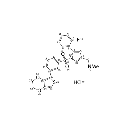 CNCc1cc(-c2ccccc2F)n(S(=O)(=O)c2cccc(-c3scc4c3OCCO4)c2)c1.Cl